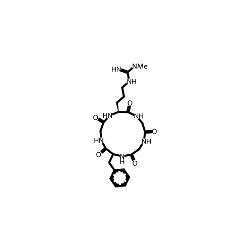 CNC(=N)NCCC[C@@H]1NC(=O)CNC(=O)C(Cc2ccccc2)NC(=O)CNC(=O)CNC1=O